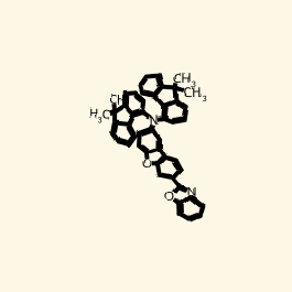 CC1(C)c2ccccc2-c2c(N(c3ccc4oc5cc(-c6nc7ccccc7o6)ccc5c4c3)c3cccc4c3-c3ccccc3C4(C)C)cccc21